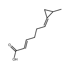 CC1CC1=CCCC=CC(=O)O